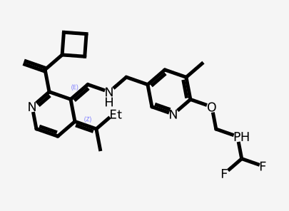 C=C(c1nccc(=C(\C)CC)/c1=C\NCc1cnc(OCPC(F)F)c(C)c1)C1CCC1